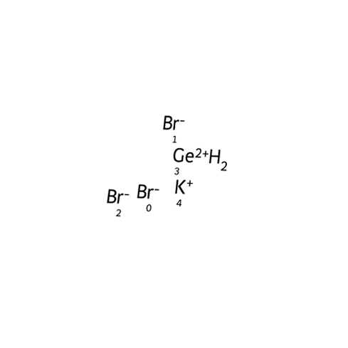 [Br-].[Br-].[Br-].[GeH2+2].[K+]